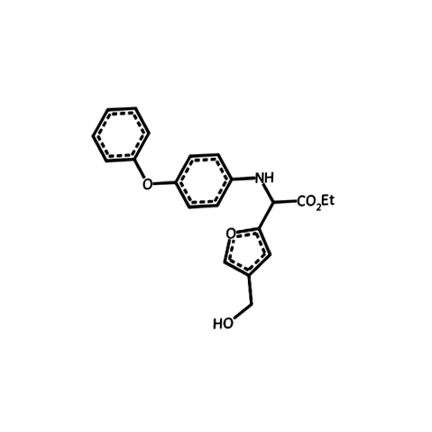 CCOC(=O)C(Nc1ccc(Oc2ccccc2)cc1)c1cc(CO)co1